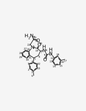 Cc1ccc(C2CC(NC(=O)Nc3cccc(C)c3)C(=O)N(CC(N)=O)c3ccccc32)cc1